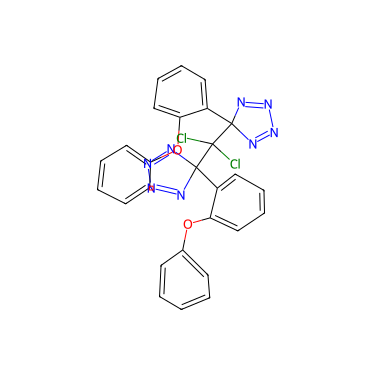 ClC(Cl)(C1(c2ccccc2Oc2ccccc2)N=NN=N1)C1(c2ccccc2Oc2ccccc2)N=NN=N1